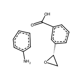 Nc1ccccc1.O=C(O)c1cccc([C@@H]2CO2)c1